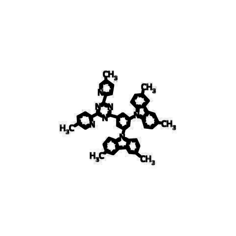 Cc1ccc(-c2nc(-c3cc(-n4c5ccc(C)cc5c5cc(C)ccc54)cc(-n4c5ccc(C)cc5c5cc(C)ccc54)c3)nc(-c3ccc(C)cn3)n2)nc1